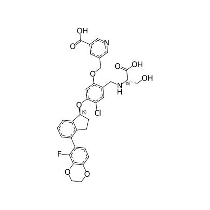 O=C(O)c1cncc(COc2cc(O[C@H]3CCc4c(-c5ccc6c(c5F)OCCO6)cccc43)c(Cl)cc2CN[C@@H](CO)C(=O)O)c1